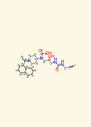 C#CCNC(=O)NCC(O)CN(C(=O)O)C1CCN([C@H](C)c2cccc3ccccc23)CC1